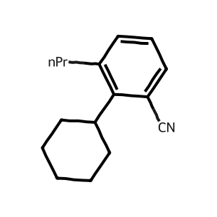 CCCc1cccc(C#N)c1C1CCCCC1